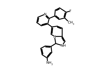 Cc1cc(-c2ncccc2C2=CN3C(=CNC3c3cccc(N)c3)C=C2)ccc1F